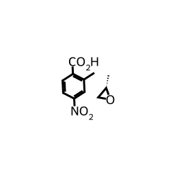 C[C@H]1CO1.Cc1cc([N+](=O)[O-])ccc1C(=O)O